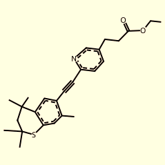 CCOC(=O)CCc1ccc(C#Cc2cc3c(cc2C)SC(C)(C)CC3(C)C)nc1